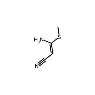 CSC(N)=CC#N